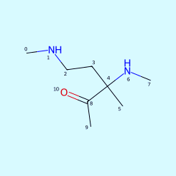 CNCCC(C)(NC)C(C)=O